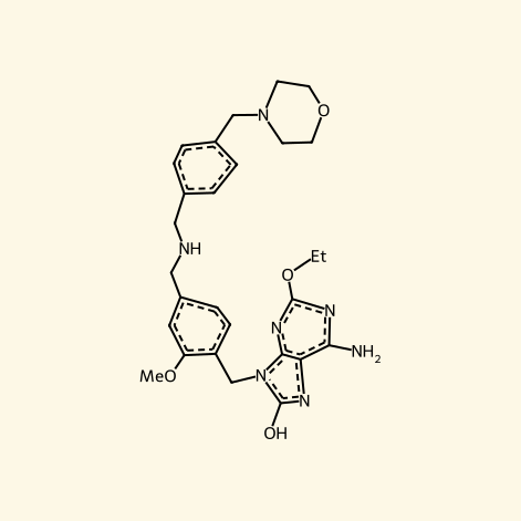 CCOc1nc(N)c2nc(O)n(Cc3ccc(CNCc4ccc(CN5CCOCC5)cc4)cc3OC)c2n1